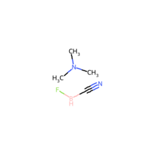 CN(C)C.N#CBF